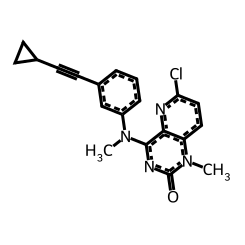 CN(c1cccc(C#CC2CC2)c1)c1nc(=O)n(C)c2ccc(Cl)nc12